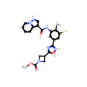 COC(=O)N1CC(c2nc(-c3cc(F)c(C)c(NC(=O)c4cnn5ccccc45)c3)no2)C1